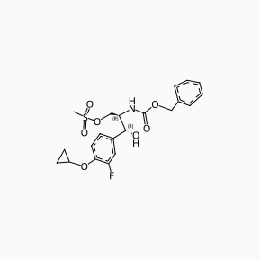 CS(=O)(=O)OC[C@@H](NC(=O)OCc1ccccc1)[C@H](O)c1ccc(OC2CC2)c(F)c1